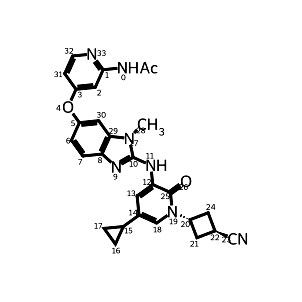 CC(=O)Nc1cc(Oc2ccc3nc(Nc4cc(C5CC5)cn([C@H]5C[C@H](C#N)C5)c4=O)n(C)c3c2)ccn1